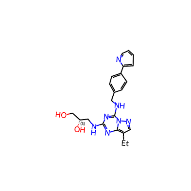 CCc1cnn2c(NCc3ccc(-c4ccccn4)cc3)nc(NC[C@H](O)CO)nc12